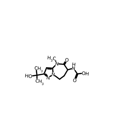 CN1C(=O)C(NC(=O)O)CCn2nc(C(C)(C)O)cc21